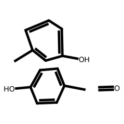 C=O.Cc1ccc(O)cc1.Cc1cccc(O)c1